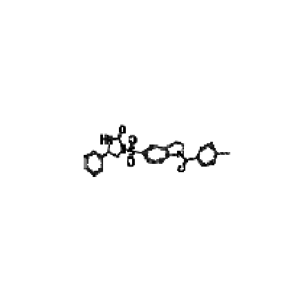 Cc1ccc(C(=O)N2CCc3cc(S(=O)(=O)N4CC(c5ccccc5)NC4=O)ccc32)cc1